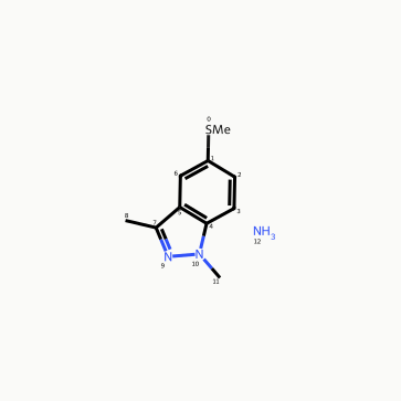 CSc1ccc2c(c1)c(C)nn2C.N